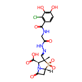 C[C@]1(/C=N/NC(=O)CNC(=O)c2ccc(O)c(O)c2Cl)[C@H](C(=O)O)N2C(=O)C[C@H]2S1(=O)=O